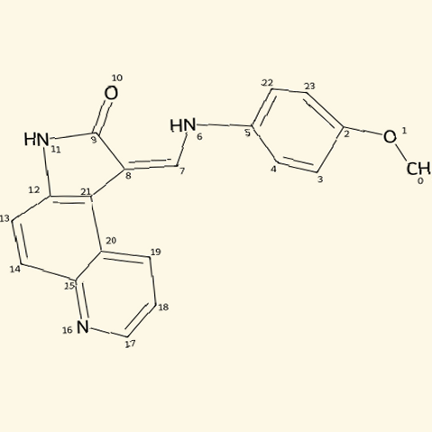 COc1ccc(NC=C2C(=O)Nc3ccc4ncccc4c32)cc1